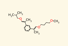 COCCCCOC=C(C)c1cccc(C(C)=COCC(C)C)c1